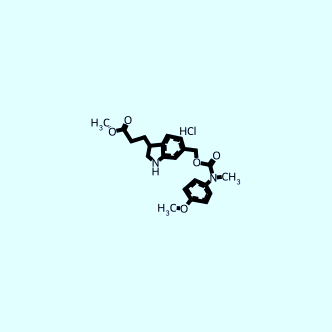 COC(=O)CCC1CNc2cc(COC(=O)N(C)c3ccc(OC)cc3)ccc21.Cl